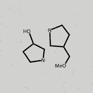 COCC1CC[N]C1.OC1CC[N]C1